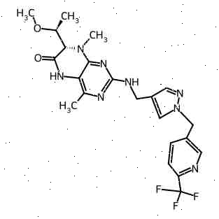 CO[C@@H](C)[C@H]1C(=O)Nc2c(C)nc(NCc3cnn(Cc4ccc(C(F)(F)F)nc4)c3)nc2N1C